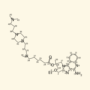 CCOCc1nc2c(N)nc3ccccc3c2n1CC(C)(C)OC(=O)CCCCCN(C)CCCN1CCN(CCCN(C)C)CC1